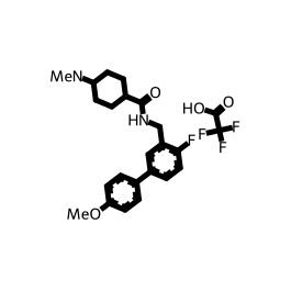 CNC1CCC(C(=O)NCc2cc(-c3ccc(OC)cc3)ccc2F)CC1.O=C(O)C(F)(F)F